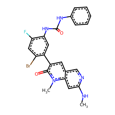 CNc1cc2c(cn1)cc(-c1cc(NC(=O)Nc3ccccc3)c(F)cc1Br)c(=O)n2C